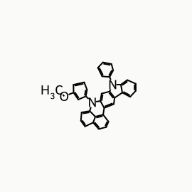 COc1cccc(N2c3cc4c(cc3-c3cccc5cccc2c35)c2ccccc2n4-c2ccccc2)c1